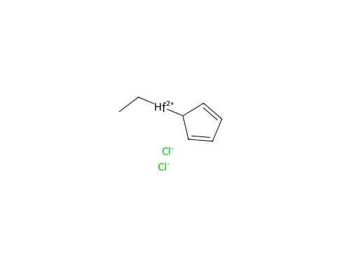 C[CH2][Hf+2][CH]1C=CC=C1.[Cl-].[Cl-]